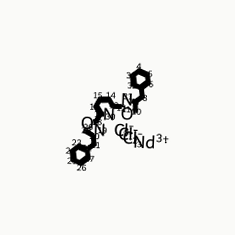 [Cl-].[Cl-].[Cl-].[Nd+3].c1ccc(CC2COC(c3cccc(C4=NC(Cc5ccccc5)CO4)n3)=N2)cc1